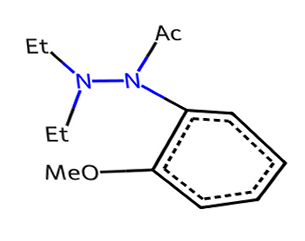 CCN(CC)N(C(C)=O)c1ccccc1OC